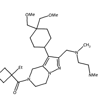 CCC1(C(=O)N2CCn3nc(CN(C)CCNC)c(C4CCC(COC)(COC)CC4)c3C2)CCC1